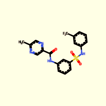 Cc1cnc(C(=O)Nc2cccc(S(=O)(=O)Nc3cccc(C(F)(F)F)c3)c2)cn1